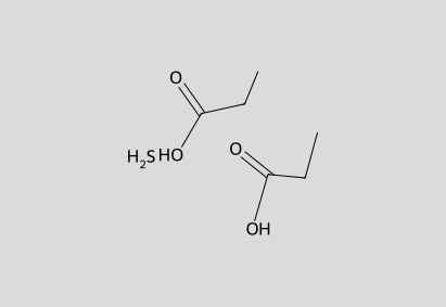 CCC(=O)O.CCC(=O)O.S